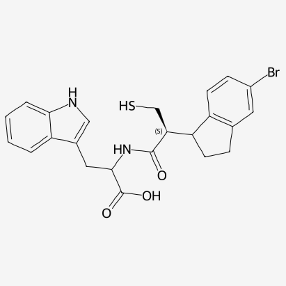 O=C(O)C(Cc1c[nH]c2ccccc12)NC(=O)[C@@H](CS)C1CCc2cc(Br)ccc21